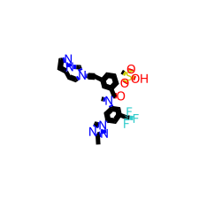 CS(=O)(=O)O.Cc1ncn(-c2cc(N(C)C(=O)c3cccc(C#CN4C=Cc5ccnn5C4)c3)cc(C(F)(F)F)c2)n1